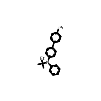 CCC(C)(C)N(c1ccccc1)c1ccc(-c2ccc(C(C)C)cc2)cc1